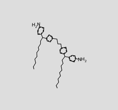 CCCCCCCCCCC(c1ccc(N)cc1)c1ccc(CCCc2ccc(C(CCCCCCCCCC)c3ccc(N)cc3)cc2)cc1